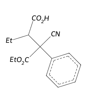 CCOC(=O)C(C#N)(c1ccccc1)C(CC)C(=O)O